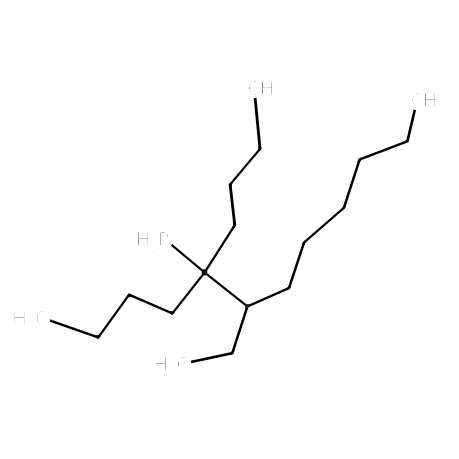 CCCCCCC(CC)C(P)(CCCC)CCCC